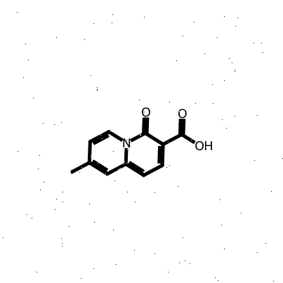 Cc1ccn2c(=O)c(C(=O)O)ccc2c1